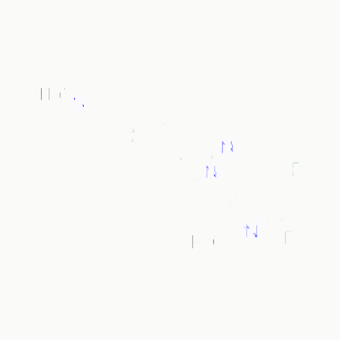 Cc1cc(-c2cnc3cc(-c4ccc(C5CCN(C)CC5)cc4)ccn23)c2cc(F)cc(F)c2n1